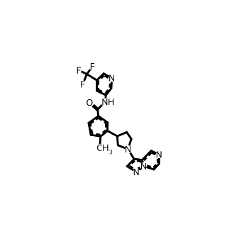 Cc1ccc(C(=O)Nc2cncc(C(F)(F)F)c2)cc1C1CCN(c2cnn3ccncc23)C1